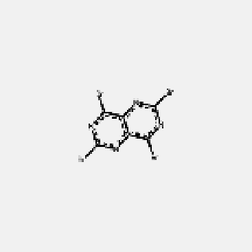 Brc1nc(Br)c2nc(Br)nc(Br)c2n1